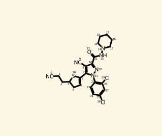 N#CCCC1CC=C(c2c(C#N)c(C(=O)NN3CCCCC3)nn2-c2ccc(Cl)cc2Cl)S1